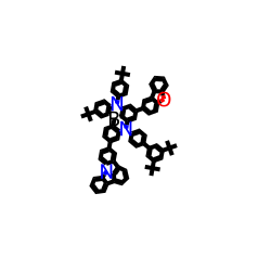 CC(C)(C)c1ccc(N2c3ccc(C(C)(C)C)cc3B3c4ccc(-c5ccc6c(c5)c5cccc7c8ccccc8n6c75)cc4N(c4ccc(-c5cc(C(C)(C)C)cc(C(C)(C)C)c5)cc4)c4cc(-c5ccc6oc7ccccc7c6c5)cc2c43)cc1